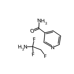 NC(=O)c1cccnc1.NC(F)(F)CF